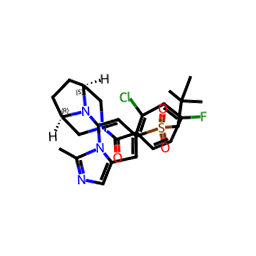 Cc1ncc2cc(S(=O)(=O)CC(C)(C)C)cc(N3[C@@H]4CC[C@H]3CN(C(=O)c3ccc(F)cc3Cl)C4)n12